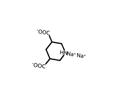 O=C([O-])C1CNCC(C(=O)[O-])C1.[Na+].[Na+]